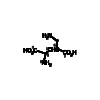 NC(C=O)C(=O)O.NCCC(=O)O